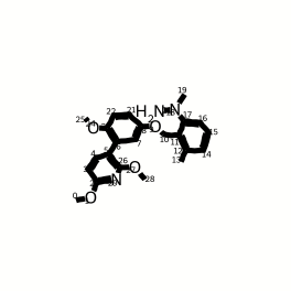 COc1ccc(-c2cc(OCc3c(C)cccc3N(C)N)ccc2OC)c(OC)n1